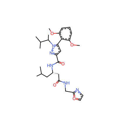 COc1cccc(OC)c1-c1cc(C(=O)N[C@H](CC(=O)NCc2ncco2)CC(C)C)nn1C(C)C(C)C